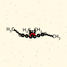 CCCCCCCCOc1ccc(-c2ccc(-c3ccc4c(c3)C(C(F)(F)C(F)(F)CCC)(C(F)(F)C(F)(F)CCC)c3cc(-c5ccc(-c6ccc(OCCCCCCCC)cc6)cc5)ccc3-4)cc2)cc1